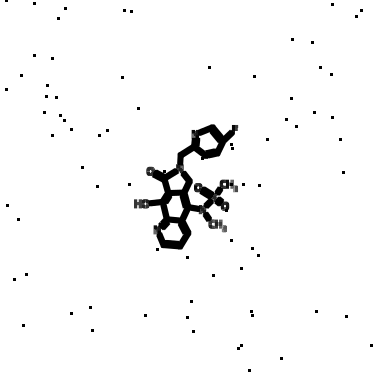 CN(c1c2c(c(O)c3ncccc13)C(=O)N(Cc1ccc(F)cn1)C2)S(C)(=O)=O